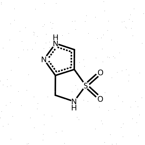 O=S1(=O)NCc2n[nH]cc21